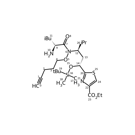 C#CCCCON(C(=O)[C@@H](N)[C@@H](C)CC)[C@H](C[C@@H](O[Si](C)(C)C(C)(C)C)c1nc(C(=O)OCC)cs1)C(C)C